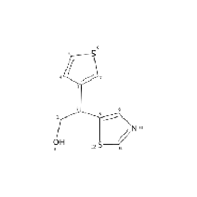 OCC(c1ccsc1)c1cncs1